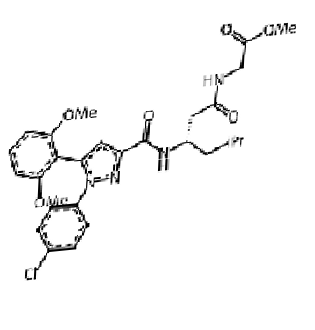 COC(=O)CNC(=O)C[C@H](CC(C)C)NC(=O)c1cc(-c2c(OC)cccc2OC)n(-c2ccc(Cl)cc2)n1